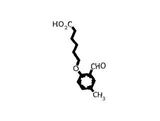 Cc1ccc(OCCCCCC(=O)O)c(C=O)c1